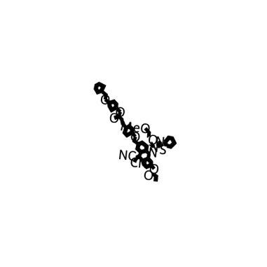 C=CC(=O)Oc1ccc2c(c1)/C(=N/N(COCCOC)c1nc3ccccc3s1)c1ccc(COc3ccc(CCC(=O)Oc4ccc(OCc5ccccc5)cc4)cc3)cc1C2=C(C#N)C#N